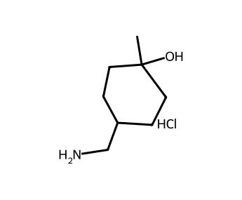 CC1(O)CCC(CN)CC1.Cl